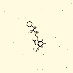 Cc1nc(N)c2nc(C)n(CCNC(=O)NC3CCCCC3)c2c1C